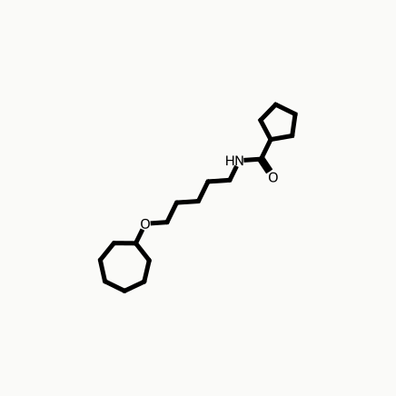 O=C(NCCCCCOC1CCCCCC1)C1CCCC1